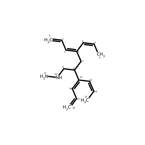 C=C/C=C(\C=C/C)CC(CNN)C(/C=C\C)=C/C=C